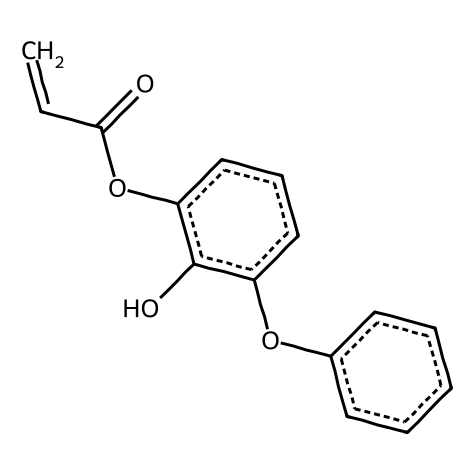 C=CC(=O)Oc1cccc(Oc2ccccc2)c1O